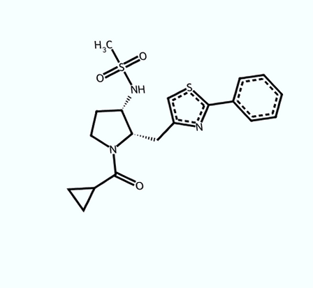 CS(=O)(=O)N[C@H]1CCN(C(=O)C2CC2)[C@H]1Cc1csc(-c2ccccc2)n1